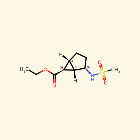 CCOC(=O)[C@H]1[C@@H]2CC[C@@H](NS(C)(=O)=O)[C@@H]21